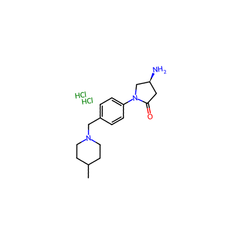 CC1CCN(Cc2ccc(N3C[C@@H](N)CC3=O)cc2)CC1.Cl.Cl